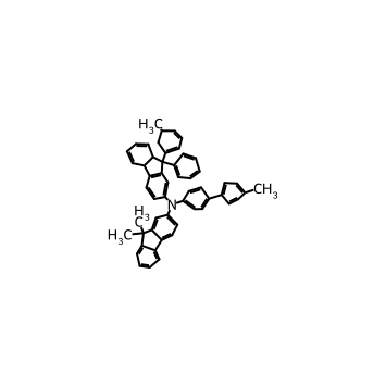 Cc1ccc(-c2ccc(N(c3ccc4c(c3)C(C)(C)c3ccccc3-4)c3ccc4c(c3)C(C3=CC=CC(C)C3)(c3ccccc3)C3C=CC=CC43)cc2)cc1